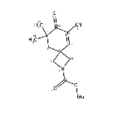 CC(C)(C)OC(=O)N1CC2(C=C(C#N)C(=O)C(C)(C)C2)C1